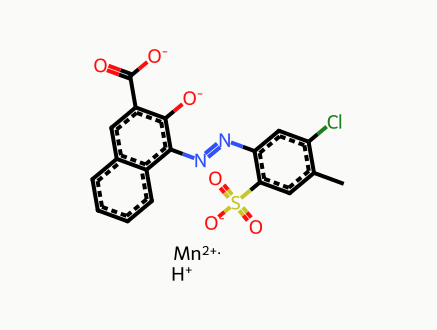 Cc1cc(S(=O)(=O)[O-])c(N=Nc2c([O-])c(C(=O)[O-])cc3ccccc23)cc1Cl.[H+].[Mn+2]